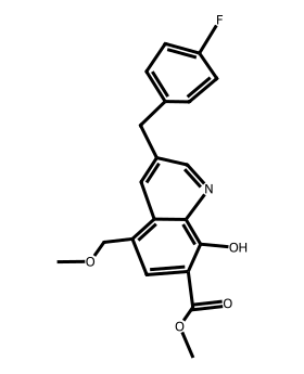 COCc1cc(C(=O)OC)c(O)c2ncc(Cc3ccc(F)cc3)cc12